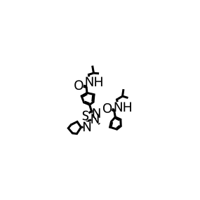 CC(C)CNC(=O)c1ccc(-c2nn(C)c(=NC3CCCCC3)s2)cc1.CC(C)CNC(=O)c1ccccc1